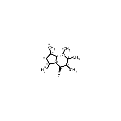 COC(C)C(C)C(=O)N1CC(C)CC1C